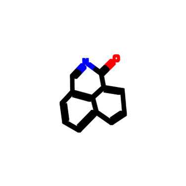 O=C1N=Cc2cccc3cccc1c23